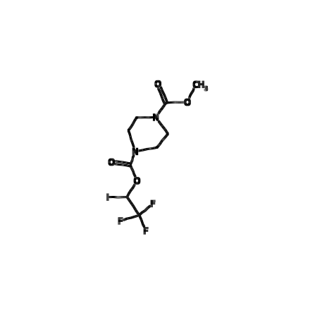 COC(=O)N1CCN(C(=O)OC(I)C(F)(F)F)CC1